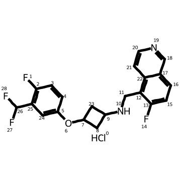 Cl.Fc1ccc(OC2CC(NCc3c(F)ccc4cnccc34)C2)cc1C(F)F